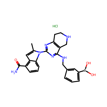 Cc1cc2c(C(N)=O)cccc2n1-c1nc2c(c(NCc3cccc(B(O)O)c3)n1)CNCC2.Cl